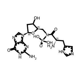 Nc1nc2c(ncn2[C@H]2CC(O)[C@@H](CN(C(=O)[C@@H](N)Cc3cnc[nH]3)P(=O)(O)O)O2)c(=O)[nH]1